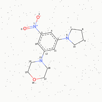 O=[N+]([O-])c1cc(N2CCCC2)cc(N2CCOCC2)c1